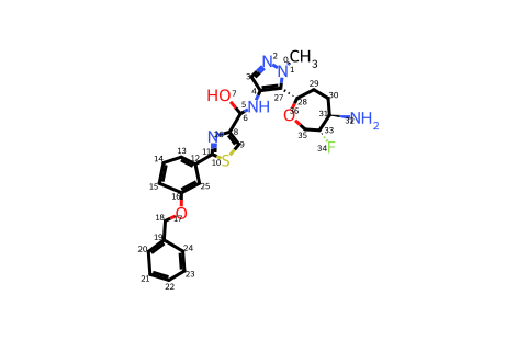 Cn1ncc(NC(O)c2csc(-c3cccc(OCc4ccccc4)c3)n2)c1[C@@H]1CC[C@@H](N)[C@H](F)CO1